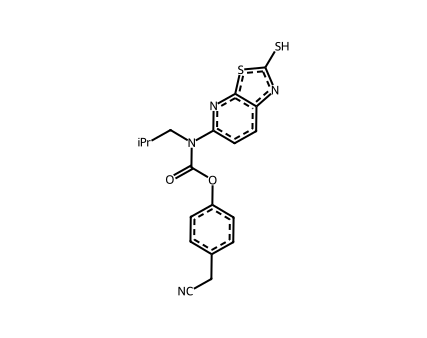 CC(C)CN(C(=O)Oc1ccc(CC#N)cc1)c1ccc2nc(S)sc2n1